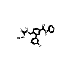 CC(C)(C)OC(=O)NCc1ccc(C(=O)Nc2ccncc2)cc1-c1cccc(O)c1